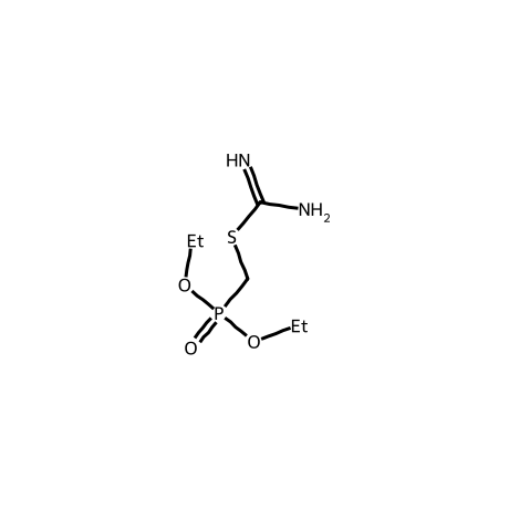 CCOP(=O)(CSC(=N)N)OCC